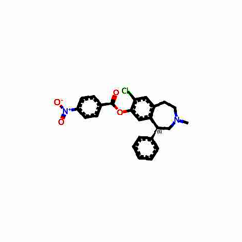 CN1CCc2cc(Cl)c(OC(=O)c3ccc([N+](=O)[O-])cc3)cc2[C@H](c2ccccc2)C1